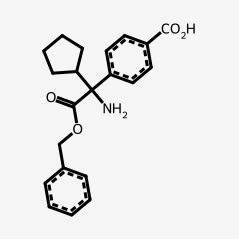 NC(C(=O)OCc1ccccc1)(c1ccc(C(=O)O)cc1)C1CCCC1